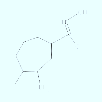 BC1CC(/C(Cl)=N/O)CCCC1C